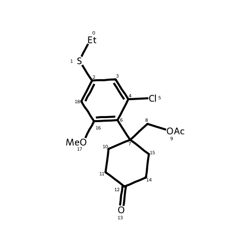 CCSc1cc(Cl)c(C2(COC(C)=O)CCC(=O)CC2)c(OC)c1